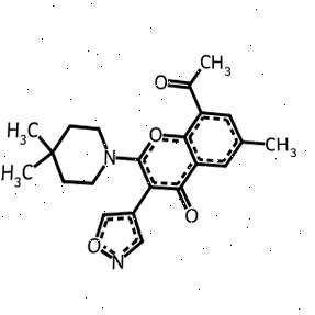 CC(=O)c1cc(C)cc2c(=O)c(-c3cnoc3)c(N3CCC(C)(C)CC3)oc12